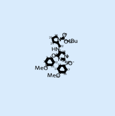 COc1ccc(Oc2nc([S+]([O-])c3ccc(OC)cc3)ncc2NCC2CCCN2C(=O)OC(C)(C)C)cc1